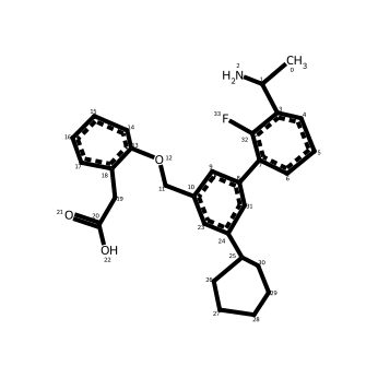 CC(N)c1cccc(-c2cc(COc3ccccc3CC(=O)O)cc(C3CCCCC3)c2)c1F